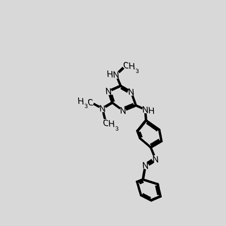 CNc1nc(Nc2ccc(N=Nc3ccccc3)cc2)nc(N(C)C)n1